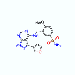 COc1ccc(S(N)(=O)=O)cc1CNc1ncnc2[nH]nc(-c3ccoc3)c12